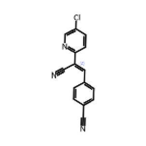 N#C/C(=C\c1ccc(C#N)cc1)c1ccc(Cl)cn1